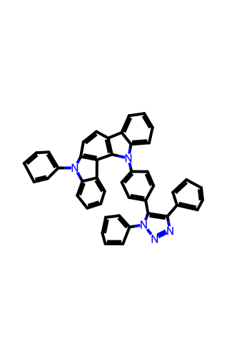 c1ccc(-c2nnn(-c3ccccc3)c2-c2ccc(-n3c4ccccc4c4ccc5c(c6ccccc6n5-c5ccccc5)c43)cc2)cc1